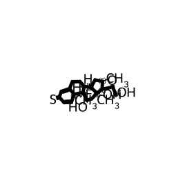 C[C@H]1C[C@H]2[C@@H]3CCC4=CC(=S)C=C[C@]4(C)[C@@]3(F)C(O)C[C@]2(C)[C@@]1(O)C(=O)CO